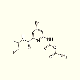 CC(CF)NC(=O)c1cc(Br)cc(NC(=S)OC(N)=O)n1